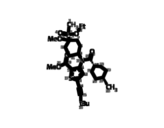 CCOP(C)(=O)C1(OC)CCC(N(c2cc(C#CC(C)(C)C)sc2C(=O)OC)C(=O)[C@H]2CC[C@H](C)CC2)CC1